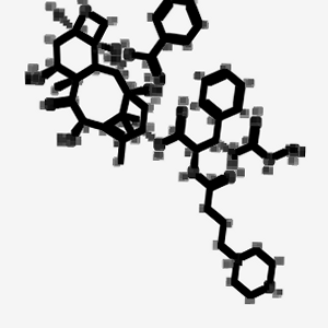 CC1=C2[C@@H](O)C(=O)[C@@]3(C)C([C@H](OC(=O)c4ccccc4)[C@](O)(C[C@@H]1OC(=O)[C@H](OC(=O)CCCN1CCOCC1)[C@@H](NC(=O)OC(C)(C)C)c1ccccc1)C2(C)C)[C@]1(O)CO[C@@H]1C[C@@H]3O